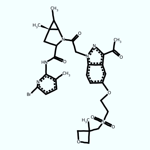 CC(=O)c1nn(CC(=O)N2C(C(=O)Nc3nc(Br)ccc3C)C[C@]3(C)C(C)C23)c2ccc(OCCS(=O)(=O)CC3(C)COC3)cc12